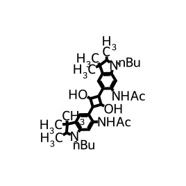 CCCCN1c2cc(NC(C)=O)c(C3C(O)C(c4cc5c(cc4NC(C)=O)N(CCCC)C(C)C5(C)C)C3O)cc2C(C)(C)C1C